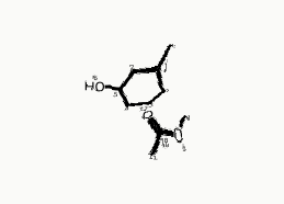 CC1CCCC(O)C1.COC(C)=O